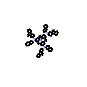 CC1(C)c2ccccc2-c2ccc(N(c3cc4c5c(c3)C(C)(C)c3cc(N(c6ccc7c(c6)C(C)(C)c6ccccc6-7)c6ccc7ccccc7c6)cc6c3N5c3c(cc(N(c5ccc7c(c5)C(C)(C)c5ccccc5-7)c5ccc7ccccc7c5)cc3C6(C)C)C4(C)C)c3ccc4ccccc4c3)cc21